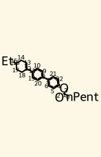 CCCCCC(=O)Oc1ccc(-c2ccc(C3=CCC(CC)CC3)cc2)cc1